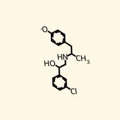 CC(Cc1ccc([O])cc1)NCC(O)c1cccc(Cl)c1